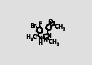 Cc1nc(NC(C)c2ccc(F)c(Br)c2)cc(-c2ccc3occ(C)c3c2)n1